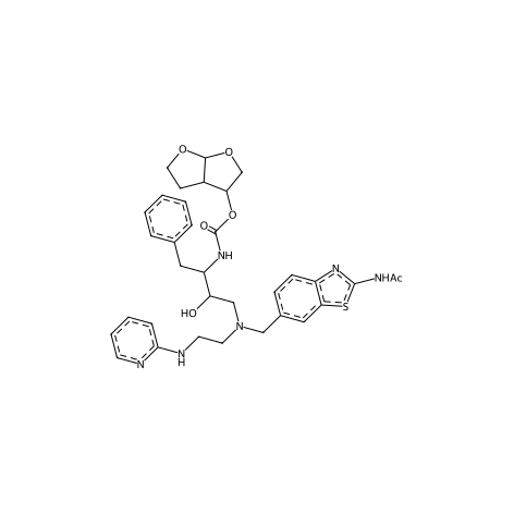 CC(=O)Nc1nc2ccc(CN(CCNc3ccccn3)CC(O)C(Cc3ccccc3)NC(=O)OC3COC4OCCC34)cc2s1